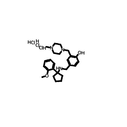 COc1ccccc1C1(NCc2ccc(O)c(CN3CCN(C)CC3)c2)CCCC1.Cl.Cl.Cl